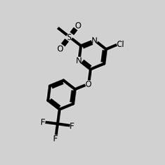 CS(=O)(=O)c1nc(Cl)cc(Oc2cccc(C(F)(F)F)c2)n1